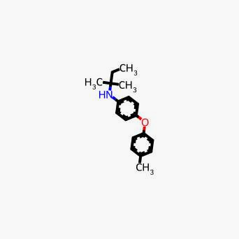 CCC(C)(C)Nc1ccc(Oc2ccc(C)cc2)cc1